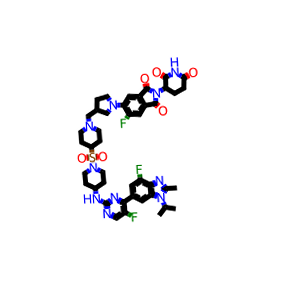 Cc1nc2c(F)cc(-c3nc(NC4CCN(S(=O)(=O)C5CCN(CC6CCN(c7cc8c(cc7F)C(=O)N(C7CCC(=O)NC7=O)C8=O)C6)CC5)CC4)ncc3F)cc2n1C(C)C